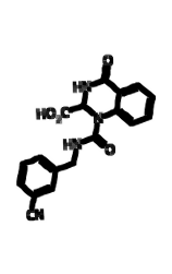 N#Cc1cccc(CNC(=O)N2c3ccccc3C(=O)NC2C(=O)O)c1